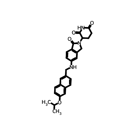 CC(C)Oc1ccc2cc(CNc3ccc4c(c3)CN(C3CCC(=O)NC3=O)C4=O)ccc2c1